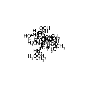 CCC(C)(C)OC(=O)N[C@@H]1[C@@H](O)[C@@H](O[C@@H]2[C@@H](O)[C@H](O[C@H]3O[C@H](CNCCO)CC[C@H]3NC(=O)O)[C@@H](NC(=O)OC(C)(C)C)C[C@H]2NC(=O)[C@@H](O)CCNC(=O)OC(C)(C)C)OC[C@]1(C)O